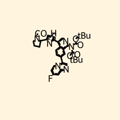 CC(C)(C)OC(=O)N(C(=O)OC(C)(C)C)c1ncc(-c2nc(C3CCCN3C(=O)O)cs2)c2ccc(-c3cnc4cc(F)ccn34)cc12